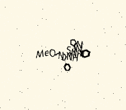 COCCN1C[C@@H](NC(=S)Nc2c3c(nn2-c2ccccc2)CCC3)[C@H](c2ccccc2)C1